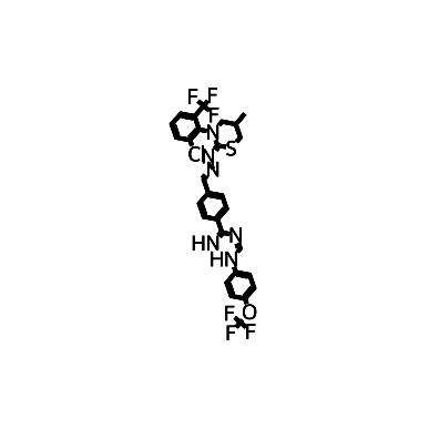 CC1CS/C(=N\N=C\c2ccc(C(=N)/N=C\Nc3ccc(OC(F)(F)F)cc3)cc2)N(c2c(Cl)cccc2C(F)(F)F)C1